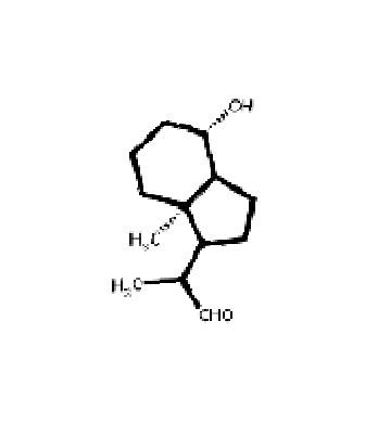 CC(C=O)C1CCC2[C@@H](O)CCC[C@]12C